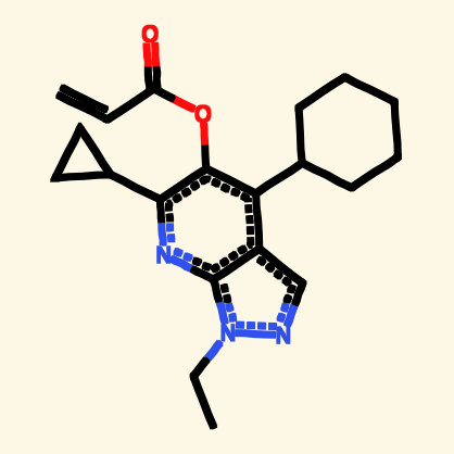 C=CC(=O)Oc1c(C2CC2)nc2c(cnn2CC)c1C1CCCCC1